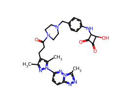 Cc1nn(-c2ccc3nnc(C)n3n2)c(C)c1CCC(=O)N1CCN(Cc2ccc(NC3C(=O)C(=O)C3O)cc2)CC1